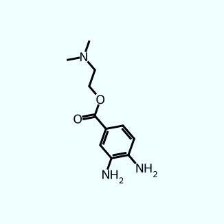 CN(C)CCOC(=O)c1ccc(N)c(N)c1